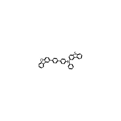 c1ccc(N(c2ccc(-c3ccc(-c4ccc5oc6ccccc6c5c4)cc3)cc2)c2ccc3sc4ccccc4c3c2)cc1